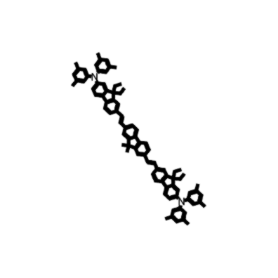 CCC1(CC)c2cc(/C=C/c3ccc4c(c3)C(C)(C)c3cc(/C=C/c5ccc6c(c5)C(CC)(CC)c5cc(N(c7cc(C)cc(C)c7)c7cc(C)cc(C)c7)ccc5-6)ccc3-4)ccc2-c2ccc(N(c3cc(C)cc(C)c3)c3cc(C)cc(C)c3)cc21